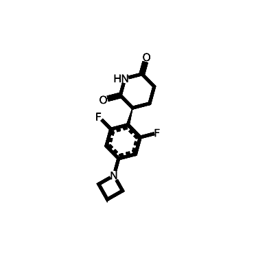 O=C1CC[C@@H](c2c(F)cc(N3C[CH]C3)cc2F)C(=O)N1